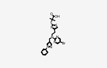 CC(C)(Sc1nc(CCN(Cc2cnn(-c3ccccc3)c2)c2ncc(Br)cn2)cs1)C(=O)O